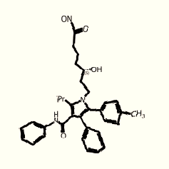 Cc1ccc(-c2c(-c3ccccc3)c(C(=O)Nc3ccccc3)c(C(C)C)n2CC[C@@H](O)CCCC(=O)N=O)cc1